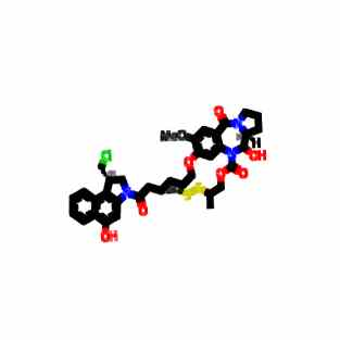 CCC(C)SSC(C)COC(=O)N1c2cc(OCCCCCC(=O)N3C[C@@H](CCl)c4c3cc(O)c3ccccc43)c(OC)cc2C(=O)N2CCC[C@H]2C1O